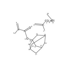 C=C(C)C(=O)O.C=C(C)C(=O)OC12CC3CC(CC(C3)C1)C2.CCC